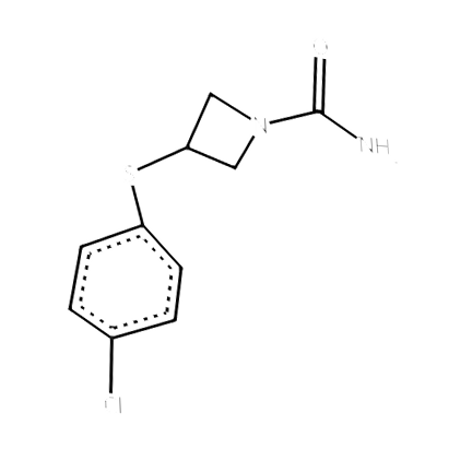 NC(=O)N1CC(Sc2ccc(Cl)cc2)C1